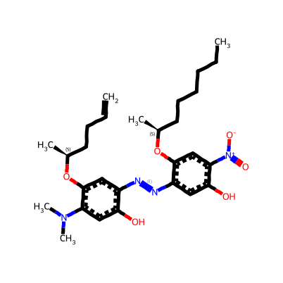 C=CCC[C@H](C)Oc1cc(/N=N/c2cc(O)c([N+](=O)[O-])cc2O[C@@H](C)CCCCCC)c(O)cc1N(C)C